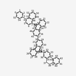 c1ccc(-c2ccc(-n3c4ccccc4c4cc(-c5ccc6c(c5)c5ccccc5n6-c5ccc6c(c5)CCc5ccccc5-6)ccc43)c3ccccc23)cc1